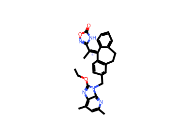 CCOc1nc2c(C)cc(C)nc2n1Cc1ccc2c(c1)CCc1ccccc1/C2=C(/C)c1noc(=O)[nH]1